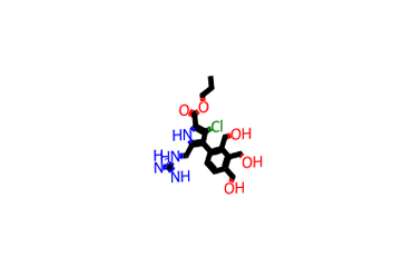 CCCOC(=O)c1[nH]c(CNC(=N)N)c(-c2ccc(CO)c(CO)c2CO)c1Cl